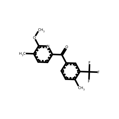 COc1nc(C(=O)c2ccc(C)c(C(F)(F)F)c2)ccc1C